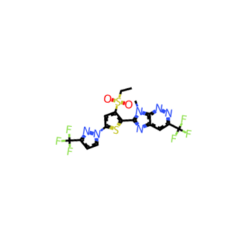 CCS(=O)(=O)c1cc(-n2ccc(C(F)(F)F)n2)sc1-c1nc2cc(C(F)(F)F)nnc2n1C